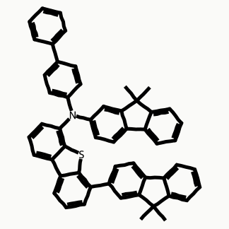 CC1(C)c2ccccc2-c2ccc(-c3cccc4c3sc3c(N(c5ccc(-c6ccccc6)cc5)c5ccc6c(c5)C(C)(C)c5ccccc5-6)cccc34)cc21